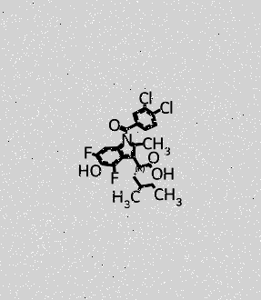 CCC(C)C[C@@H](C(=O)O)c1c(C)n(C(=O)c2ccc(Cl)c(Cl)c2)c2cc(F)c(O)c(F)c12